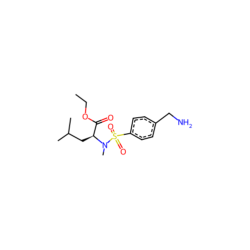 CCOC(=O)[C@H](CC(C)C)N(C)S(=O)(=O)c1ccc(CN)cc1